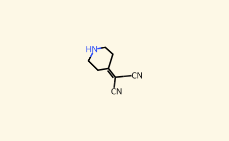 N#CC(C#N)=C1CCNCC1